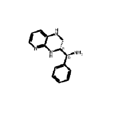 N[C@@H](c1ccccc1)[C@H]1CNc2cccnc2N1